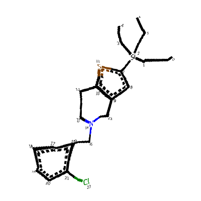 CC[Si](CC)(CC)c1cc2c(s1)CCN(Cc1ccccc1Cl)C2